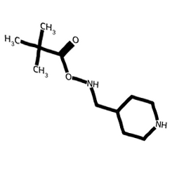 CC(C)(C)C(=O)ONCC1CCNCC1